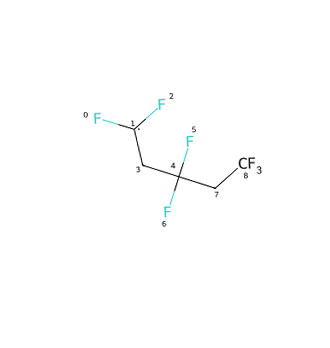 F[C](F)CC(F)(F)CC(F)(F)F